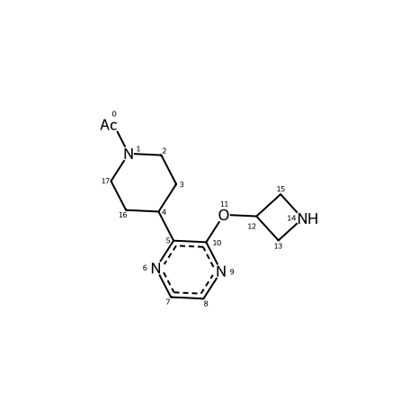 CC(=O)N1CCC(c2nccnc2OC2CNC2)CC1